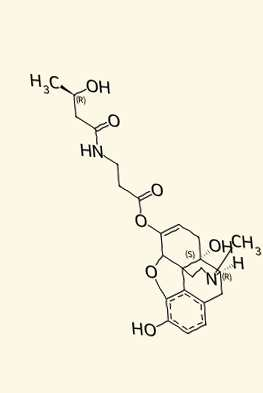 C[C@@H](O)CC(=O)NCCC(=O)OC1=CC[C@@]2(O)[C@H]3Cc4ccc(O)c5c4C2(CCN3C)C1O5